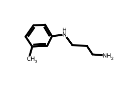 Cc1cccc(NCCCN)c1